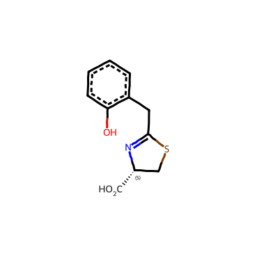 O=C(O)[C@H]1CSC(Cc2ccccc2O)=N1